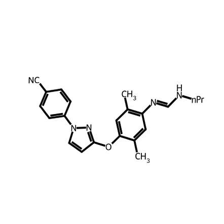 CCCN/C=N/c1cc(C)c(Oc2ccn(-c3ccc(C#N)cc3)n2)cc1C